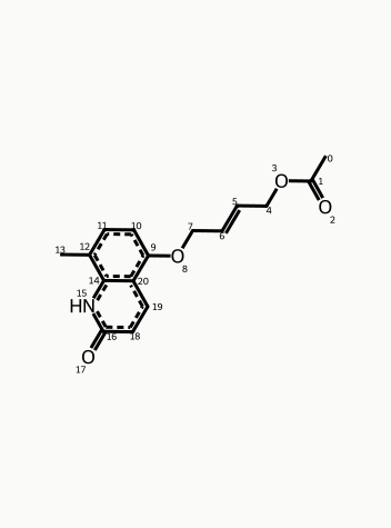 CC(=O)OC/C=C/COc1ccc(C)c2[nH]c(=O)ccc12